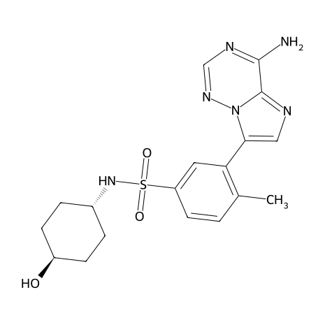 Cc1ccc(S(=O)(=O)N[C@H]2CC[C@H](O)CC2)cc1-c1cnc2c(N)ncnn12